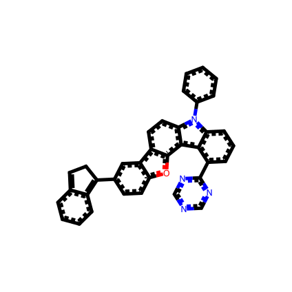 C1=c2ccccc2=C(c2ccc3oc4c(ccc5c4c4c(-c6ncncn6)cccc4n5-c4ccccc4)c3c2)C1